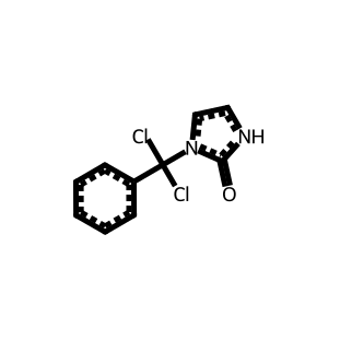 O=c1[nH]ccn1C(Cl)(Cl)c1ccccc1